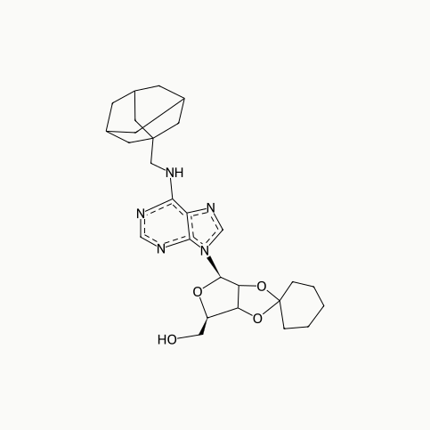 OC[C@H]1O[C@@H](n2cnc3c(NCC45CC6CC(CC(C6)C4)C5)ncnc32)C2OC3(CCCCC3)OC21